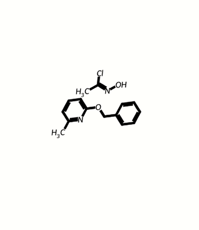 CC(Cl)=NO.Cc1cccc(OCc2ccccc2)n1